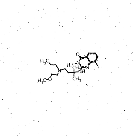 CCCN(CCOC)CCC(C)(C)Nc1nc2c(I)cccc2c(=O)n1C